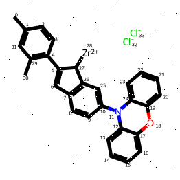 Cc1ccc(C2=Cc3ccc(N4c5ccccc5Oc5ccccc54)cc3[CH]2[Zr+2])c(C)c1.[Cl-].[Cl-]